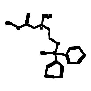 CC(C)(C)OC(=O)C[C@@H](CCO[Si](c1ccccc1)(c1ccccc1)C(C)(C)C)C(=O)O